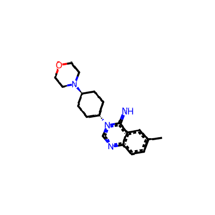 Cc1ccc2ncn([C@H]3CC[C@H](N4CCOCC4)CC3)c(=N)c2c1